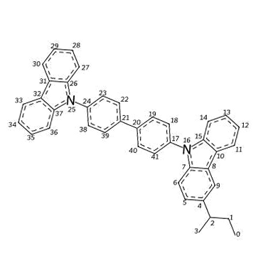 CCC(C)c1ccc2c(c1)c1ccccc1n2-c1ccc(-c2ccc(-n3c4ccccc4c4ccccc43)cc2)cc1